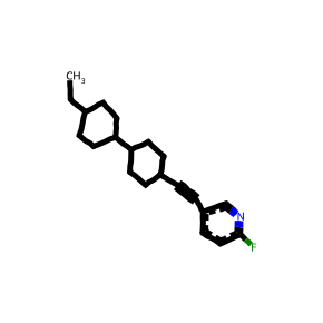 CCC1CCC(C2CCC(C#Cc3ccc(F)nc3)CC2)CC1